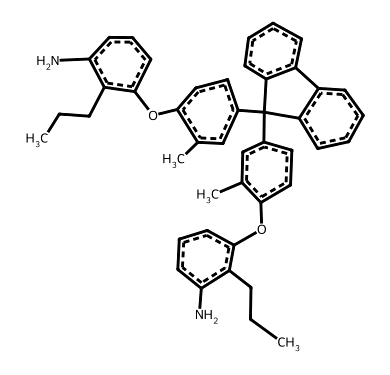 CCCc1c(N)cccc1Oc1ccc(C2(c3ccc(Oc4cccc(N)c4CCC)c(C)c3)c3ccccc3-c3ccccc32)cc1C